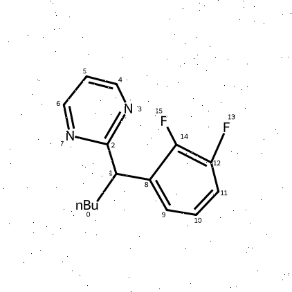 CCCCC(c1ncccn1)c1cccc(F)c1F